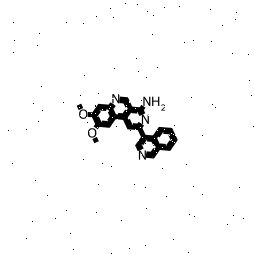 COc1cc2ncc3c(N)nc(-c4cncc5ccccc45)cc3c2cc1OC